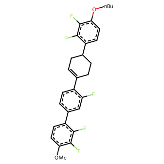 CCCCOc1ccc(C2CC=C(c3ccc(-c4ccc(OC)c(F)c4F)cc3F)CC2)c(F)c1F